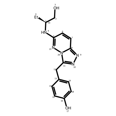 CC[C@@H](CO)Nc1ccc2nnc(Cc3ccc(O)cc3)n2n1